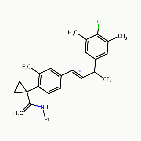 C=C(NCC)C1(c2ccc(/C=C/C(c3cc(C)c(Cl)c(C)c3)C(F)(F)F)cc2C(F)(F)F)CC1